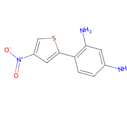 Nc1ccc(-c2cc([N+](=O)[O-])cs2)c(N)c1